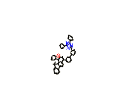 CC1(C)c2ccccc2-c2ccc3c(-c4cccc(-c5cccc(-c6nc(-c7ccccc7)nc(-c7ccccc7)n6)c5)c4)cc4oc5ccccc5c4c3c21